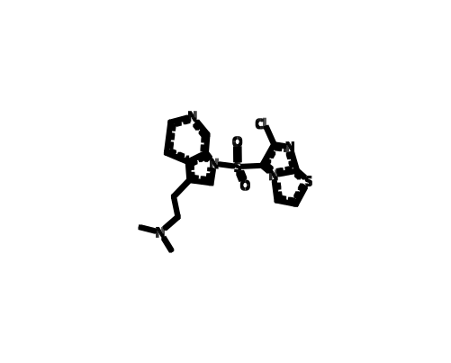 CN(C)CCc1cn(S(=O)(=O)c2c(Cl)nc3sccn23)c2cnccc12